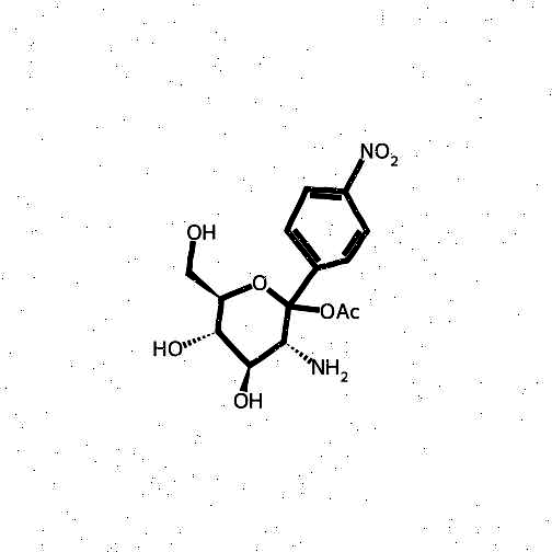 CC(=O)OC1(c2ccc([N+](=O)[O-])cc2)O[C@H](CO)[C@@H](O)[C@H](O)[C@H]1N